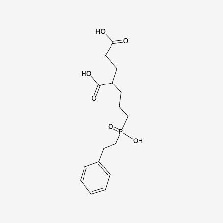 O=C(O)CCC(CCCP(=O)(O)CCc1ccccc1)C(=O)O